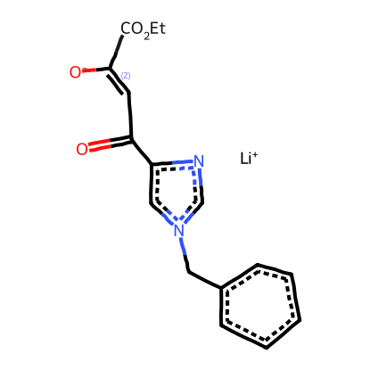 CCOC(=O)/C([O-])=C/C(=O)c1cn(Cc2ccccc2)cn1.[Li+]